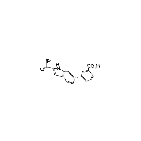 CC(C)C(=O)c1cc2ccc(-c3cccc(C(=O)O)c3)cc2[nH]1